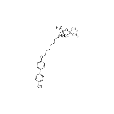 C[Si](C)(C)O[Si](C)(C)CCCCCCCCOc1ccc(-c2ccc(C#N)cn2)cc1